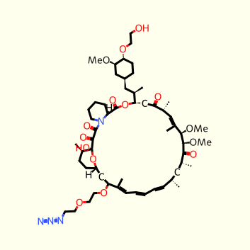 CO[C@@H]1/C(C)=C/[C@@H](C)C(=O)C[C@@H]([C@H](C)C[C@@H]2CC[C@@H](OCCO)[C@H](OC)C2)OC(=O)[C@@H]2CCCCN2C(=O)C(=O)[C@]2(O)O[C@@H](CC[C@H]2C)CC(OCCOCCN=[N+]=[N-])/C(C)=C/C=C/C=C/[C@@H](C)C[C@@H](C)C(=O)[C@@H]1OC